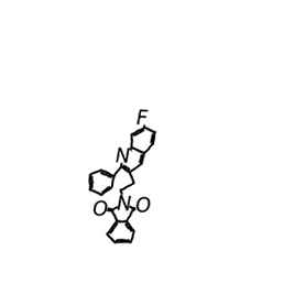 O=C1c2ccccc2C(=O)N1CCc1cc2ccc(F)cc2nc1-c1ccccc1